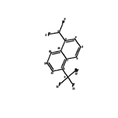 FC(F)c1cccc2c(C(F)(F)Br)cccc12